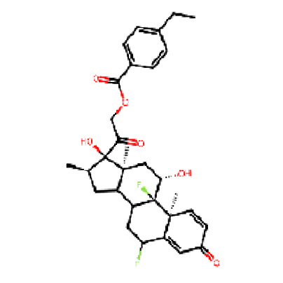 CCc1ccc(C(=O)OCC(=O)[C@@]2(O)[C@H](C)CC3C4C[C@H](F)C5=CC(=O)C=C[C@]5(C)[C@@]4(F)[C@@H](O)C[C@@]32C)cc1